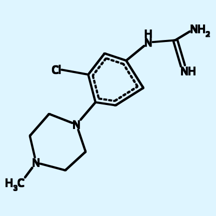 CN1CCN(c2ccc(NC(=N)N)cc2Cl)CC1